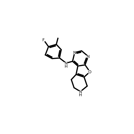 Cc1cc(Nc2ncnc3oc4c(c23)CCNC4)ccc1F